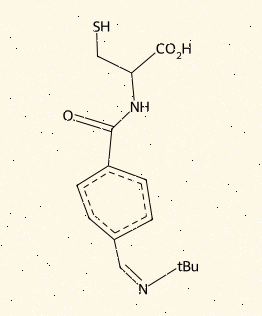 CC(C)(C)/N=C\c1ccc(C(=O)NC(CS)C(=O)O)cc1